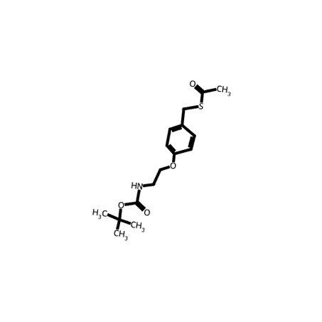 CC(=O)SCc1ccc(OCCNC(=O)OC(C)(C)C)cc1